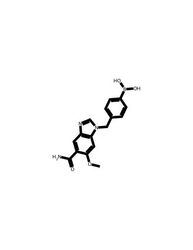 COc1cc2c(cc1C(N)=O)ncn2Cc1ccc(B(O)O)cc1